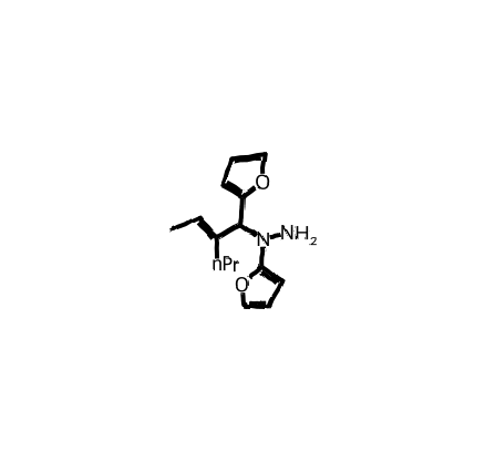 CC=C(CCC)C(c1ccco1)N(N)c1ccco1